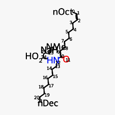 CCCCCCCC/C=C\CCCCCCCC(=O)NCCCCCCCCCCCCCCCCCC.CNCC(=O)O.[NaH]